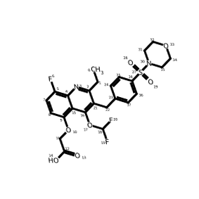 CCc1nc2c(F)ccc(OCC(=O)O)c2c(OC(F)F)c1Cc1ccc(S(=O)(=O)N2CCOCC2)cc1